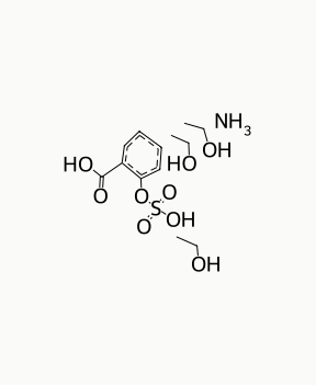 CCO.CCO.CCO.N.O=C(O)c1ccccc1OS(=O)(=O)O